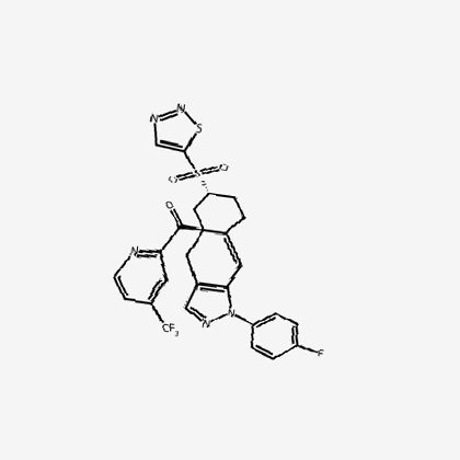 O=C(c1cc(C(F)(F)F)ccn1)[C@]12Cc3cnn(-c4ccc(F)cc4)c3C=C1CC[C@@H](S(=O)(=O)c1cnns1)C2